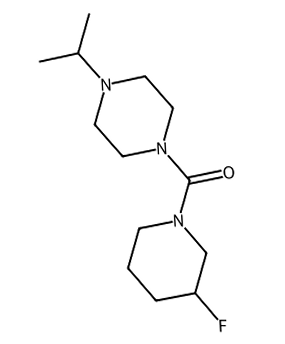 CC(C)N1CCN(C(=O)N2CCCC(F)C2)CC1